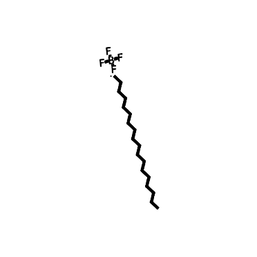 F[B-](F)(F)F.[CH2]CCCCCCCCCCCCCCCCC